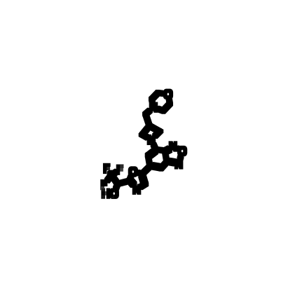 OC(c1ncc(-c2cc(N3CC(CN4CCOCC4)C3)c3nonc3c2)o1)C(F)(F)F